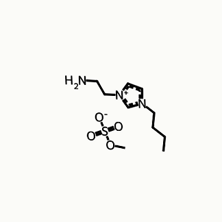 CCCCn1cc[n+](CCN)c1.COS(=O)(=O)[O-]